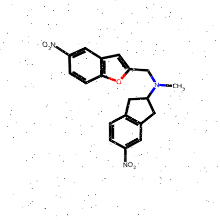 CN(Cc1cc2cc([N+](=O)[O-])ccc2o1)C1Cc2ccc([N+](=O)[O-])cc2C1